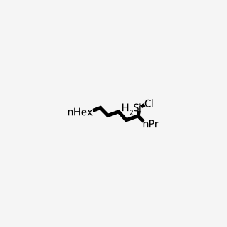 CCCCCCCCCCC(CCC)[SiH2]Cl